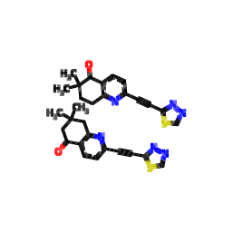 CC1(C)CC(=O)c2ccc(C#Cc3nncs3)nc2C1.CC1(C)CCc2nc(C#Cc3nncs3)ccc2C1=O